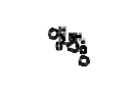 Nc1cc(Oc2ccccc2)ccc1C(=O)Nc1ccccc1